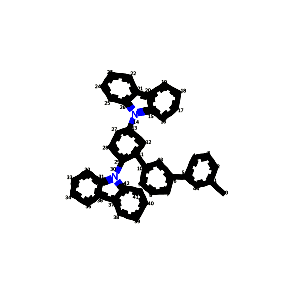 Cc1cccc(-c2cccc(-c3cc(-n4c5ccccc5c5ccccc54)ccc3-n3c4ccccc4c4ccccc43)c2)c1